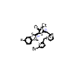 CCn1c(=O)/c(=C2\Sc3cc(F)ccc3N2C)s/c1=C\c1scc[n+]1Cc1ccc(Br)s1